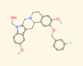 COc1ccc2c(c1)c1c(n2CO)CN2CCc3cc(OC)c(OCc4cccc(F)c4)cc3C2C1